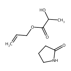 C=CCOC(=O)C(C)O.O=C1CCCN1